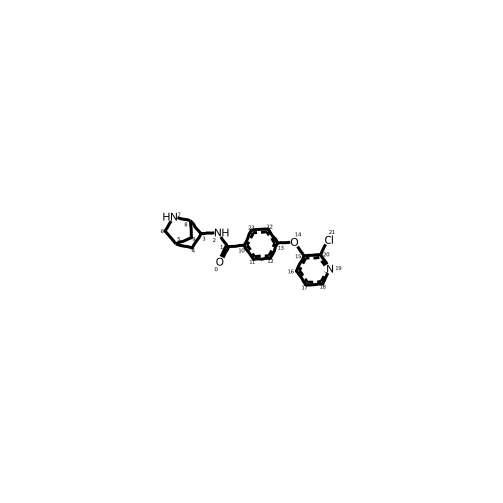 O=C(NC1CC2CNC1C2)c1ccc(Oc2cccnc2Cl)cc1